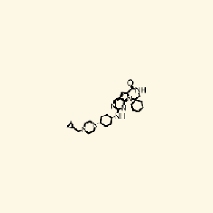 O=C1NCC2(CCCCC2)n2c1cc1cnc(N[C@H]3CC[C@@H](N4CCN(CC5CC5)CC4)CC3)nc12